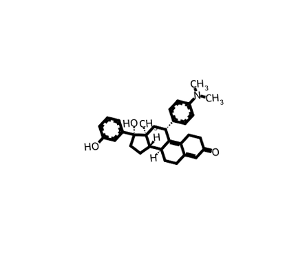 CN(C)c1ccc([C@H]2C[C@@]3(C)[C@@H](CC[C@@]3(O)c3cccc(O)c3)[C@@H]3CCC4=CC(=O)CCC4=C32)cc1